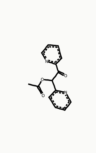 CC(=O)OC(C(=O)c1ccccn1)c1ccccn1